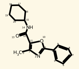 Cc1nc(-c2ccccc2)oc1C(=O)NC1CCCCC1